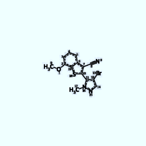 COc1cccc2c(C#N)c(-c3c(Br)cnn3C)sc12